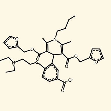 CCCCN1C(C)=C(C(=O)OCc2ccco2)C(c2cc([N+](=O)[O-])ccc2SCCN(CC)CC)C(C(=O)OCc2ccco2)=C1C